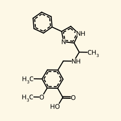 COc1c(C)cc(CNC(C)c2nc(-c3ccccc3)c[nH]2)cc1C(=O)O